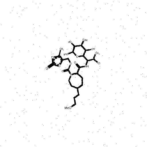 COCCCC1CCC(C(=O)NC(C(C)Cl)C2OC(SC)C(O)C(O)C2O)N(C(=O)OCc2oc(=O)oc2C)CC1